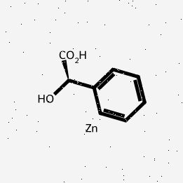 O=C(O)[C@H](O)c1ccccc1.[Zn]